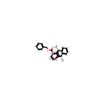 CCOC(=O)C1C(NC(=O)OCc2ccccc2)[C@H]2c3ccccc3[C@@H]1c1ccccc12